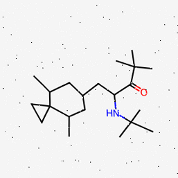 CC1CC(CC(NC(C)(C)C)C(=O)C(C)(C)C)CC(C)C12CC2